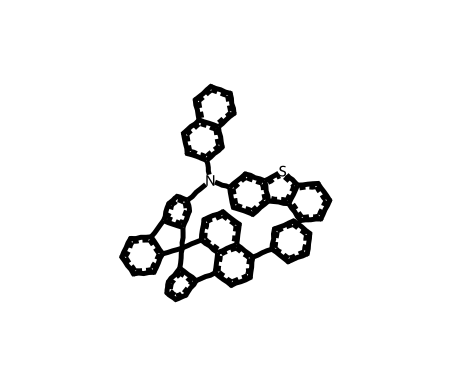 c1ccc(-c2ccc3c4c(cccc24)C2(c4ccccc4-c4ccc(N(c5ccc6ccccc6c5)c5ccc6c(c5)sc5ccccc56)cc42)c2ccccc2-3)cc1